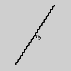 CCCCCCCCCCCCCCCCCCC(=C=O)CCCCCCCCCCCCCCCCCC